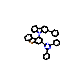 c1ccc(-c2ccc3c4ccccc4n(-c4cc(-c5nc(-c6ccccc6)nc(-c6ccccc6)n5)cc5sc6ccccc6c45)c3c2)cc1